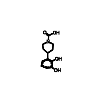 O=C(O)N1CCC(c2cccc(O)c2O)CC1